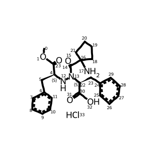 COC(=O)[C@H](Cc1ccccc1)NN(C(=O)C1(N)CCCC1)[C@@H](Cc1ccccc1)C(=O)O.Cl